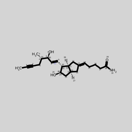 CC#CC[C@H](C)[C@@H](O)/C=C/[C@@H]1[C@H]2CC(=CCCCC(N)=O)C[C@H]2C[C@H]1O